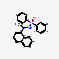 CC(NP(=O)(c1ccccc1)c1ccccc1)c1cccc2ccccc12